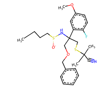 CCCC[S@@+]([O-])NC(COCc1ccccc1)(CSC(C)(C)C#N)c1cc(OC)ccc1F